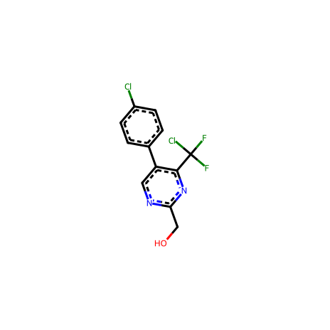 OCc1ncc(-c2ccc(Cl)cc2)c(C(F)(F)Cl)n1